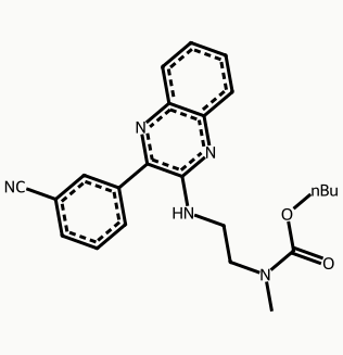 CCCCOC(=O)N(C)CCNc1nc2ccccc2nc1-c1cccc(C#N)c1